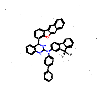 CC1(C)c2ccccc2-c2ccc(N(c3ccc(-c4ccccc4)cc3)C3Nc4ccccc4C(c4cccc5c4oc4cc6ccccc6cc45)N3)cc21